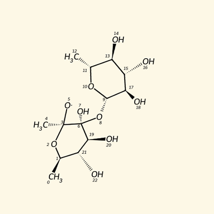 C[C@H]1O[C@@](C)([O])[C@@](O)(O[C@@H]2O[C@H](C)[C@@H](O)[C@H](O)[C@H]2O)[C@@H](O)[C@@H]1O